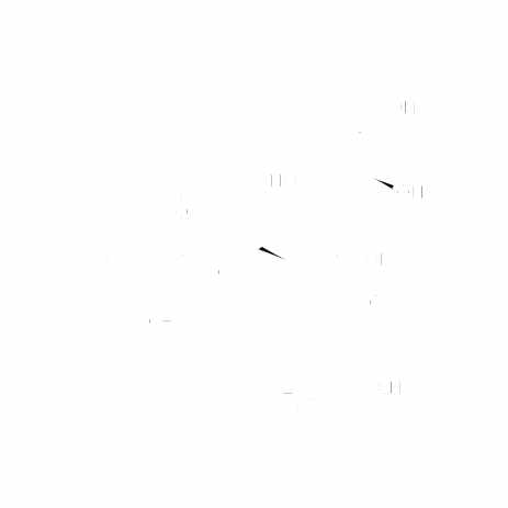 C=C(C)C(=O)OC[C@H](OC(=O)C(=C)C)[C@@H](O)[C@H](O)[C@H](O)CO